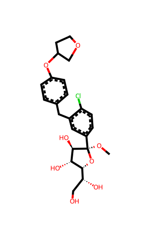 CO[C@]1(c2ccc(Cl)c(Cc3ccc(OC4CCOC4)cc3)c2)O[C@H]([C@H](O)CO)[C@H](O)[C@H]1O